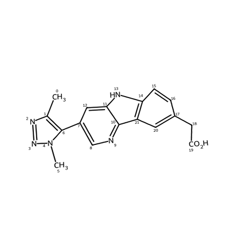 Cc1nnn(C)c1-c1cnc2c(c1)[nH]c1ccc(CC(=O)O)cc12